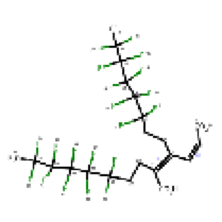 O=C(O)/C=C\C(CCC(F)(F)C(F)(F)C(F)(F)C(F)(F)C(F)(F)C(F)(F)F)=C(\CCC(F)(F)C(F)(F)C(F)(F)C(F)(F)C(F)(F)C(F)(F)F)C(=O)O